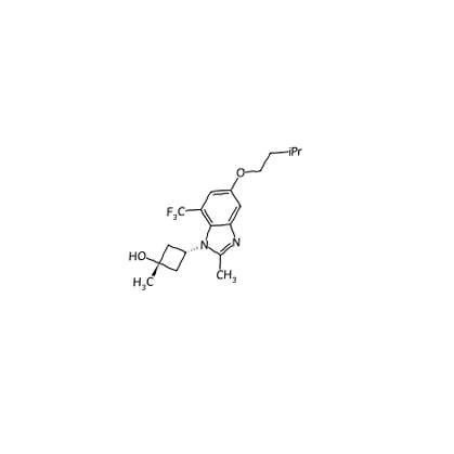 Cc1nc2cc(OCCC(C)C)cc(C(F)(F)F)c2n1[C@H]1C[C@@](C)(O)C1